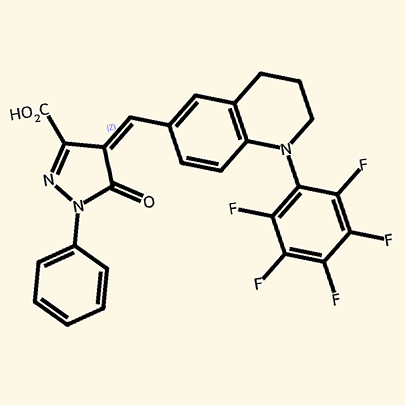 O=C(O)C1=NN(c2ccccc2)C(=O)/C1=C\c1ccc2c(c1)CCCN2c1c(F)c(F)c(F)c(F)c1F